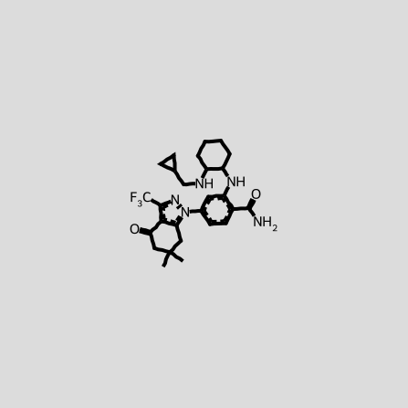 CC1(C)CC(=O)c2c(C(F)(F)F)nn(-c3ccc(C(N)=O)c(NC4CCCCC4NCC4CC4)c3)c2C1